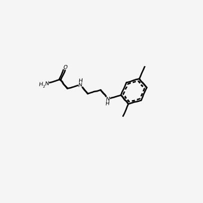 Cc1ccc(C)c(NCCNCC(N)=O)c1